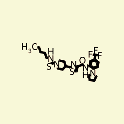 CCCCCNC(=S)N1CCC(c2nc(C(=O)Nc3cc(C(F)(F)F)ccc3N3CCCC3)cs2)CC1